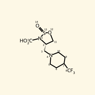 O=C(O)N1[C@@H](CN2CCC(C(F)(F)F)CC2)COS1=O